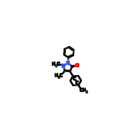 Cc1c(C23CCC(C)(CC2)CC3)c(=O)n(-c2ccccc2)n1C